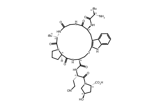 CC[C@H](C)[C@H](N)C(=O)N[C@H]1Cc2c([nH]c3ccccc23)SC[C@@H](C(=O)N[C@@H](CCN=O)C(=O)N2C[C@H](O)C[C@H]2C(=O)O)NC(=O)[C@H]2CCCN2C(=O)[C@H]([C@@H](C)CC)NC(=O)CNC1=O